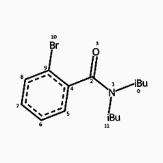 CCC(C)N(C(=O)c1ccccc1Br)C(C)CC